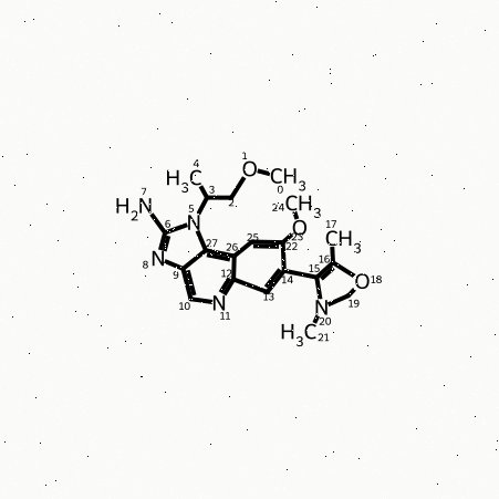 COCC(C)n1c(N)nc2cnc3cc(C4=C(C)OCN4C)c(OC)cc3c21